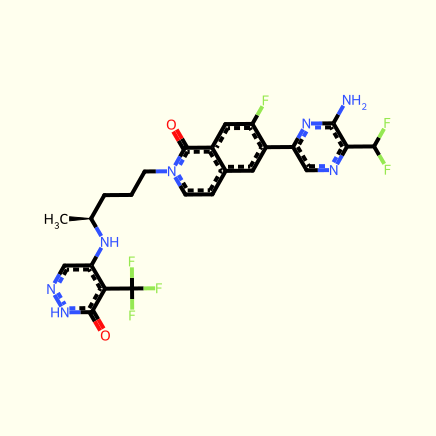 C[C@@H](CCCn1ccc2cc(-c3cnc(C(F)F)c(N)n3)c(F)cc2c1=O)Nc1cn[nH]c(=O)c1C(F)(F)F